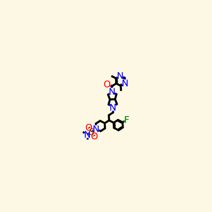 Cc1ncnc(C)c1C(=O)N1CC2CN(CCC(c3cccc(F)c3)C3CCN(S(=O)(=O)N(C)C)CC3)CC2C1